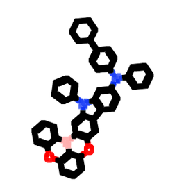 c1ccc(N(c2ccc(C3CCCCC3)cc2)c2ccc3c4cc5c(cc4n(-c4ccccc4)c3c2)B2c3ccccc3Oc3cccc(c32)O5)cc1